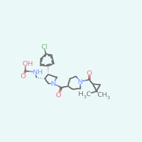 CC1(C)CC1C(=O)N1CCC(C(=O)N2C[C@H](CNC(=O)O)[C@H](c3ccc(Cl)cc3)C2)CC1